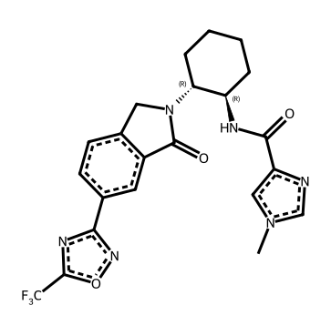 Cn1cnc(C(=O)N[C@@H]2CCCC[C@H]2N2Cc3ccc(-c4noc(C(F)(F)F)n4)cc3C2=O)c1